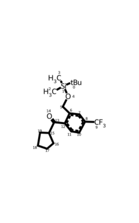 CC(C)(C)[Si](C)(C)OCc1cc(C(F)(F)F)ccc1C(=O)C1CCCC1